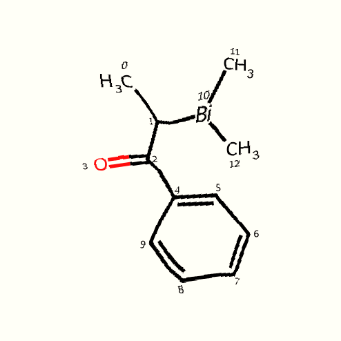 C[CH](C(=O)c1ccccc1)[Bi]([CH3])[CH3]